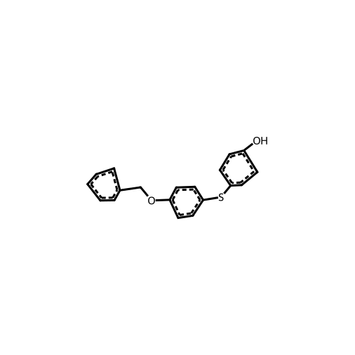 Oc1ccc(Sc2ccc(OCc3ccccc3)cc2)cc1